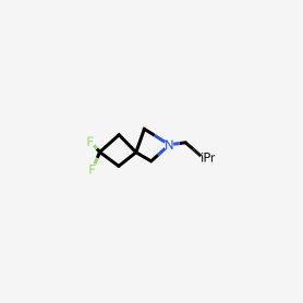 CC(C)CN1CC2(C1)CC(F)(F)C2